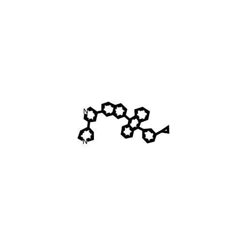 c1cc(-c2c3ccccc3c(-c3ccc4ccc(-c5cncc(-c6ccncc6)c5)cc4c3)c3ccccc23)cc(C2CC2)c1